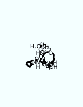 CC(C)(C)OC(=O)N[C@H]1CCCCC/C=C/[C@@H]2C[C@@]2(C(=O)O)NC(=O)[C@@H]2C[C@@H](NC(=O)N3Cc4ccccc4C3)CN2C1=O